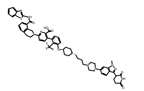 Cn1nc(C2CCC(=O)NC2=O)c2ccc(N3CCN(CCCC[C@H]4CC[C@H](Oc5cccc(-c6ccc(N7CCc8cccc(C(=O)Nc9nc%10ccccc%10s9)c8C7)nc6C(=O)O)c5C(F)(F)F)CC4)CC3)cc21